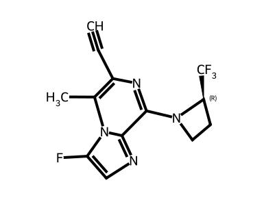 C#Cc1nc(N2CC[C@@H]2C(F)(F)F)c2ncc(F)n2c1C